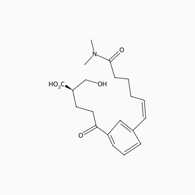 CN(C)C(=O)CCC/C=C\c1cccc(C(=O)CC[C@H](CO)C(=O)O)c1